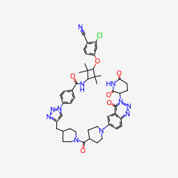 CC1(C)C(NC(=O)c2ccc(-n3cc(CC4CCN(C(=O)C5CCN(c6ccc7nnn(C8CCC(=O)NC8=O)c(=O)c7c6)CC5)CC4)nn3)cc2)C(C)(C)C1Oc1ccc(C#N)c(Cl)c1